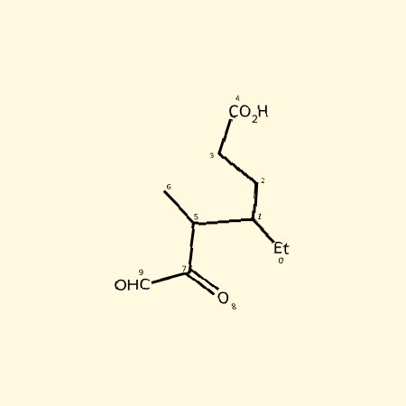 CCC(CCC(=O)O)C(C)C(=O)C=O